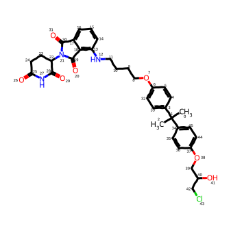 CC(C)(c1ccc(OCCCCNc2cccc3c2C(=O)N(C2CCC(=O)NC2=O)C3=O)cc1)c1ccc(OCC(O)CCl)cc1